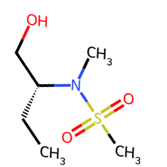 CC[C@H](CO)N(C)S(C)(=O)=O